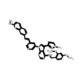 CNc1ccc2ccc(/C=C/c3cncc(-n4cc(-c5ccn(C)n5)c5c(NCc6ccc(OC)cc6OC)ncnc54)c3)cc2n1